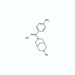 CC(C)N1CC2CC(CN(C(=O)c3ccc(N)cc3)C2)C1.Cl